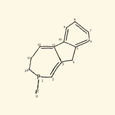 FP1C=C2Cc3ccccc3C2=CCC1